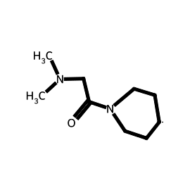 CN(C)CC(=O)N1CC[CH]CC1